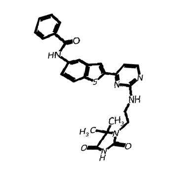 CC1(C)C(=O)NC(=O)N1CCNc1nccc(-c2cc3cc(NC(=O)c4ccccc4)ccc3s2)n1